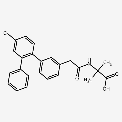 CC(C)(NC(=O)Cc1cccc(-c2ccc(Cl)cc2-c2ccccc2)c1)C(=O)O